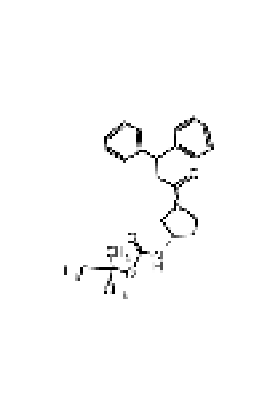 CC(C)(C)OC(=O)N[C@H]1CCN(C(=O)CC(c2ccccc2)c2ccccc2)C1